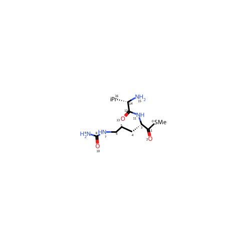 CSC(=O)[C@H](CCCNC(N)=O)NC(=O)[C@@H](N)C(C)C